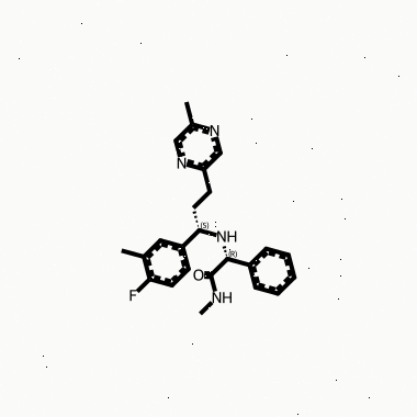 CNC(=O)[C@H](N[C@@H](CCc1cnc(C)cn1)c1ccc(F)c(C)c1)c1ccccc1